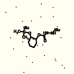 CC(C)(C)NNC(=O)OC1CCCCC1O[Si](C)(C)C(C)(C)C